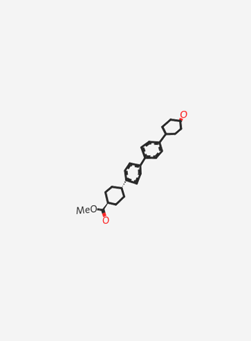 COC(=O)[C@H]1CC[C@H](c2ccc(-c3ccc(C4CCC(=O)CC4)cc3)cc2)CC1